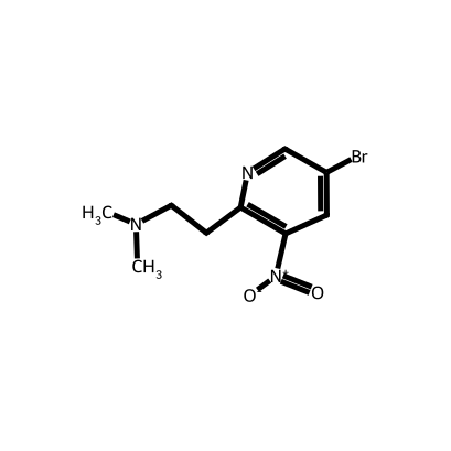 CN(C)CCc1ncc(Br)cc1[N+](=O)[O-]